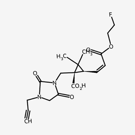 C#CCN1CC(=O)N(C[C@@]2(C(=O)O)[C@H](/C=C\C(=O)OCCF)C2(C)C)C1=O